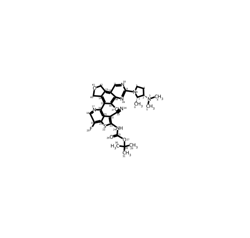 C[C@H]1[C@@H](N(C)C)CCN1c1ncc2c3c(c(-c4ncc(F)c5sc(NC(=O)OC(C)(C)C)c(C#N)c45)c(Cl)c2n1)COC3